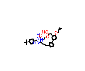 CCN(C(=N)CCCc1cccc(-c2ccc(OCC3CC3)c(CC(=O)O)c2)c1)C(=O)NCc1ccc(C(C)(C)C)cc1